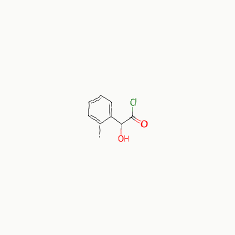 Cc1ccccc1C(O)C(=O)Cl